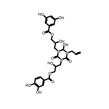 C=CCN1C(=O)N(CC(O)COC(=O)c2ccc(O)c(O)c2)C(=O)N(CC(O)COC(=O)c2cc(O)cc(O)c2)C1O